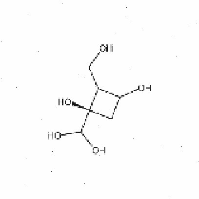 OCC1C(O)C[C@]1(O)C(O)O